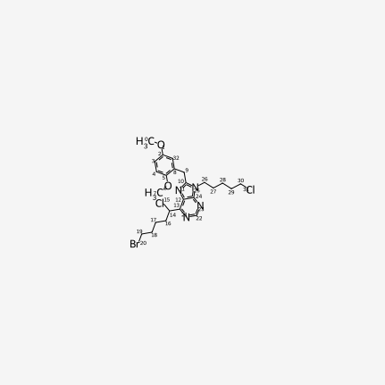 COc1ccc(OC)c(Cc2nc3c(C(Cl)CCCCBr)ncnc3n2CCCCCCl)c1